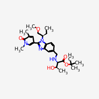 CC[C@H](COC)n1c(-c2cc(C)c(=O)n(C)c2)nc2cc(CN[C@@H](C(=O)OC(C)(C)C)[C@@H](C)O)ccc21